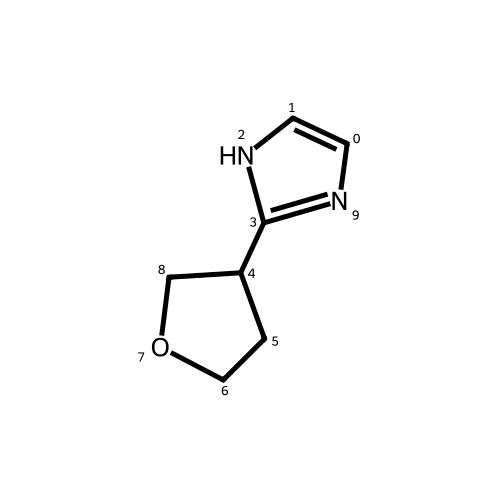 c1c[nH]c(C2CCOC2)n1